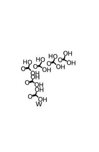 O=C(O)O.O=C(O)O.O=C(O)O.O=C(O)O.O=C(O)O.O=C(O)O.[W]